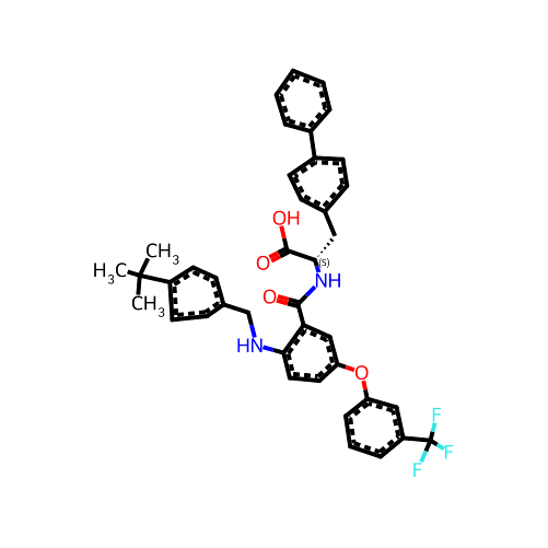 CC(C)(C)c1ccc(CNc2ccc(Oc3cccc(C(F)(F)F)c3)cc2C(=O)N[C@@H](Cc2ccc(-c3ccccc3)cc2)C(=O)O)cc1